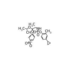 Cc1cc(C2CC2)ccc1OP(=O)(N[C@@H](C)C(=O)OC(C)C)Oc1ccc([N+](=O)[O-])cc1